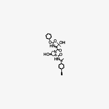 C#Cc1ccc([C@H](C)NC(=O)[C@@H]2C[C@@H](O)CN2C(=O)[C@@H](NC(=O)Oc2ccccc2)C(C)(C)O)cc1